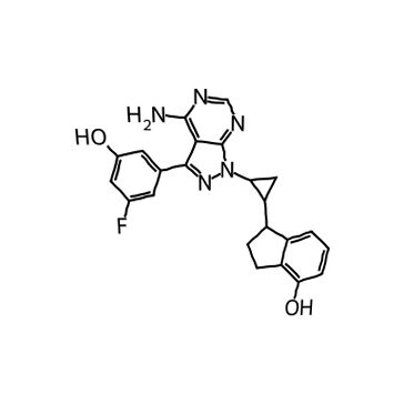 Nc1ncnc2c1c(-c1cc(O)cc(F)c1)nn2C1CC1C1CCc2c(O)cccc21